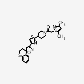 Cc1cc(C(F)(F)F)nn1CC(=O)N1CCC(c2nc(C3=NOC4(CCSc5ccccc54)C3)cs2)CC1